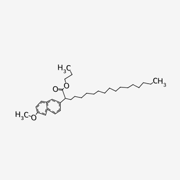 CCCCCCCCCCCCCCCCC(C(=O)OCCC)c1ccc2cc(OC)ccc2c1